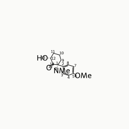 CN[C@@]1(c2ccc(OC)cc2)CCC[C@@H](O)C1=O